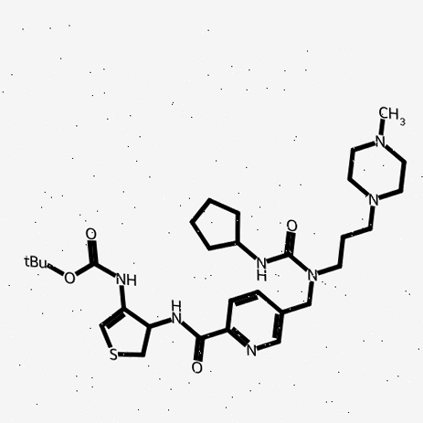 CN1CCN(CCCN(Cc2ccc(C(=O)NC3CSC=C3NC(=O)OC(C)(C)C)nc2)C(=O)NC2CCCC2)CC1